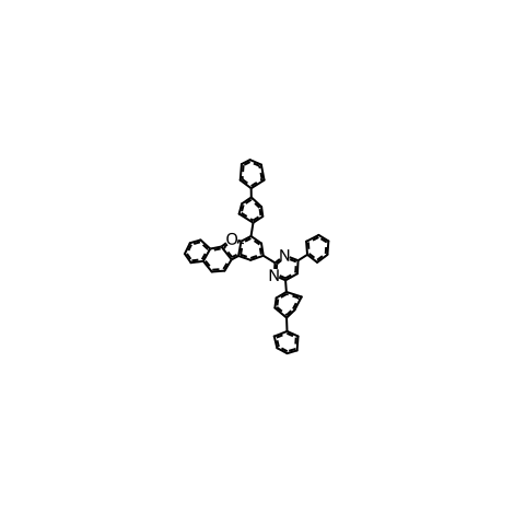 c1ccc(-c2ccc(-c3cc(-c4ccccc4)nc(-c4cc(-c5ccc(-c6ccccc6)cc5)c5oc6c7ccccc7ccc6c5c4)n3)cc2)cc1